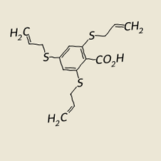 C=CCSc1cc(SCC=C)c(C(=O)O)c(SCC=C)c1